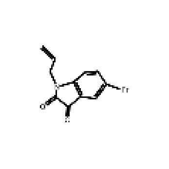 C=CCN1C(=O)C(=O)c2cc(C(C)C)ccc21